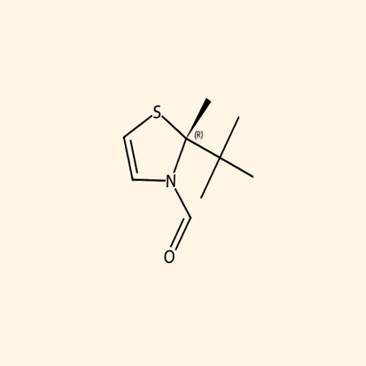 CC(C)(C)[C@@]1(C)SC=CN1C=O